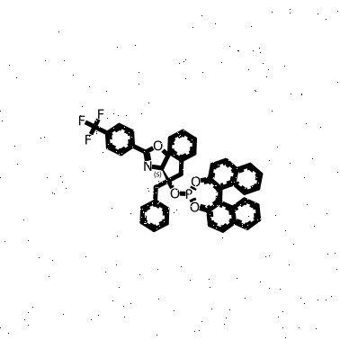 FC(F)(F)c1ccc(C2=N[C@H](C(Cc3ccccc3)(Cc3ccccc3)Op3oc4ccc5ccccc5c4c4c(ccc5ccccc54)o3)CO2)cc1